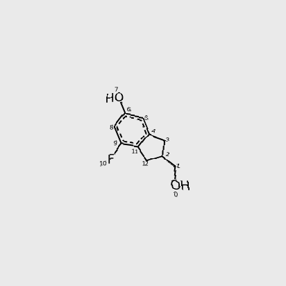 OCC1Cc2cc(O)cc(F)c2C1